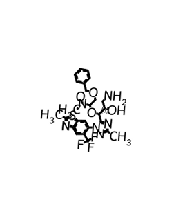 Cc1nc(C(OC2COC(c3ccccc3)ON2C)[C@@H](O)CN)n(-c2cc3sc(C)nc3cc2C(F)(F)F)n1